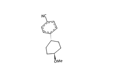 CO[C@H]1CC[C@H](c2ccc(C#N)cc2)CC1